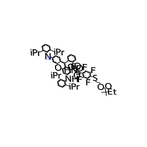 CCC(C)(C)C(=O)OCCSc1c(F)c(F)c(S(=O)(=O)NS(=O)(=O)c2ccccc2-c2c3cc/c(=N\c4c(C(C)C)cccc4C(C)C)cc-3oc3cc(Nc4c(C(C)C)cccc4C(C)C)ccc23)c(F)c1F